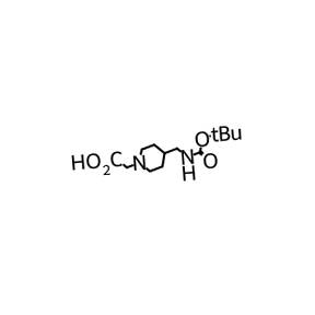 CC(C)(C)OC(=O)NCC1CCN(CC(=O)O)CC1